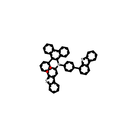 c1ccc(-c2c(N(c3ccc(-c4cccc5c4sc4ccccc45)cc3)c3ccc4sc5ccccc5c4c3)c3ccccc3c3ccccc23)cc1